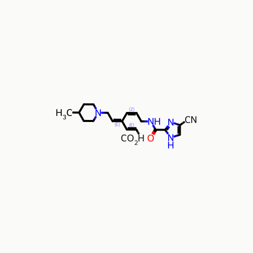 CC1CCN(C/C=C(\C=C/CNC(=O)c2nc(C#N)c[nH]2)/C=C/C(=O)O)CC1